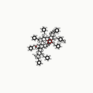 COC(=O)C1O[C@@H](O[C@@H]2C(COCc3ccccc3)O[C@H](O[C@H]3C(OCc4ccccc4)C(OC(=O)c4ccccc4)[C@@H](OC)O[C@H]3C(=O)OC)C(N=[N+]=[N-])[C@@H]2OCc2ccccc2)C(OC(=O)c2ccccc2)[C@H](OCc2ccccc2)[C@@H]1O[C@H]1OC(COCc2ccccc2)[C@@H](OCc2ccc(OC)cc2)[C@@H](OCc2ccccc2)C1N=[N+]=[N-]